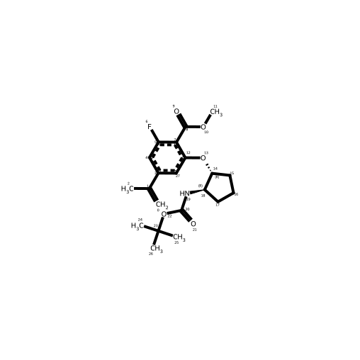 C=C(C)c1cc(F)c(C(=O)OC)c(O[C@@H]2CCC[C@H]2NC(=O)OC(C)(C)C)c1